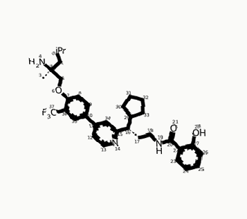 CC(C)C[C@](C)(N)COc1ccc(-c2ccnc([C@@H](CCNC(=O)c3ccccc3O)C3CCCC3)c2)cc1C(F)(F)F